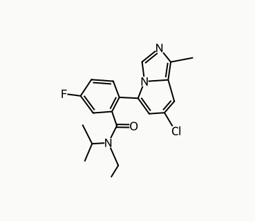 CCN(C(=O)c1cc(F)ccc1-c1cc(Cl)cc2c(C)ncn12)C(C)C